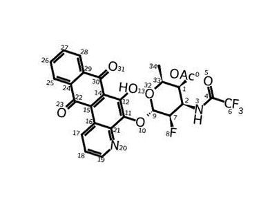 CC(=O)O[C@H]1[C@@H](NC(=O)C(F)(F)F)[C@@H](F)[C@H](Oc2c(O)c3c(c4cccnc24)C(=O)c2ccccc2C3=O)O[C@H]1C